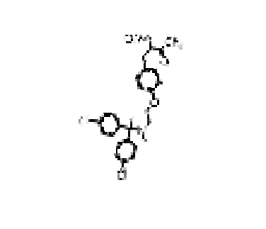 COC(Cc1ccc(OCCN(C)C(C)(c2ccc(Cl)cc2)c2ccc(Cl)cc2)cc1)C(=O)C(F)(F)F